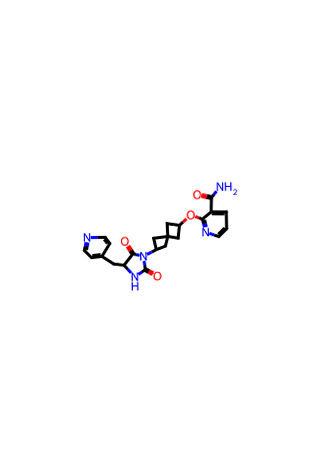 NC(=O)c1cccnc1OC1CC2(C1)CC(N1C(=O)NC(Cc3ccncc3)C1=O)C2